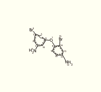 Nc1cc(Br)cc(Oc2ccc(N)cc2Br)c1